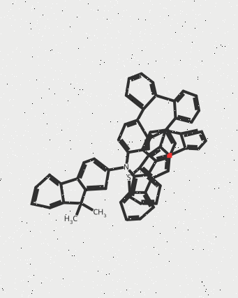 CC1(C)c2ccccc2-c2ccc(N(c3ccc4c(c3)C3(c5ccccc5-c5ccccc5-4)c4ccccc4-c4cc5c(cc43)sc3ccccc35)c3ccccc3-c3ccccc3)cc21